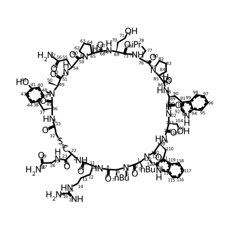 CCCC[C@H]1C(=O)N(C)[C@@H](CCCC)C(=O)N[C@@H](CCCNC(=N)N)C(=O)NC(C(=O)NCC(N)=O)CSCC(=O)N[C@@H](Cc2ccc(O)cc2)C(=O)N(C)[C@@H](C)C(=O)N[C@@H](CC(N)=O)C(=O)N2CCC[C@H]2C(=O)N[C@@H](CCO)C(=O)N[C@@H](CC(C)C)C(=O)N2CCC[C@H]2C(=O)N[C@@H](Cc2c[nH]c3ccccc23)C(=O)N[C@@H](CO)C(=O)N[C@@H](Cc2c[nH]c3ccccc23)C(=O)N1C